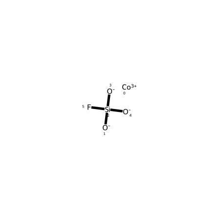 [Co+3].[O-][Si]([O-])([O-])F